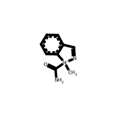 C[N+]1(C(N)=O)N=[C]c2ccccc21